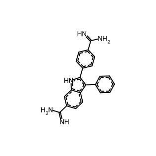 N=C(N)c1ccc(-c2[nH]c3cc(C(=N)N)ccc3c2-c2ccccc2)cc1